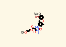 CCOCCCOC(=O)c1nn(-c2cc(C)c(Oc3ccc(OC)c(Br)c3)c(C)c2)c(=O)[nH]c1=O